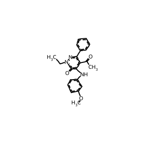 CCn1nc(-c2ccccc2)c(C(C)=O)c(Nc2cccc(OC)c2)c1=O